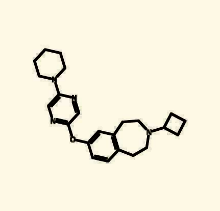 c1cc2c(cc1Oc1cnc(N3CCCCC3)cn1)CCN(C1CCC1)CC2